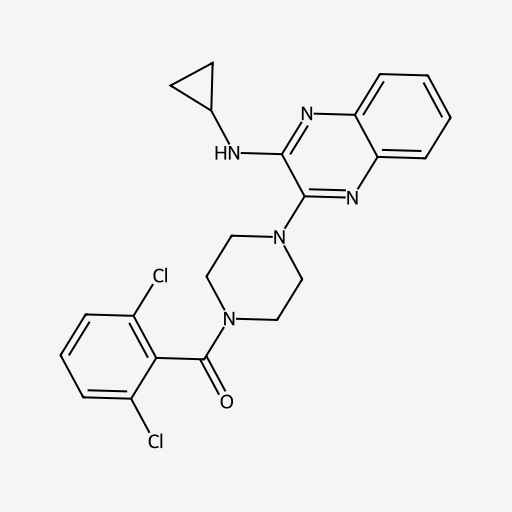 O=C(c1c(Cl)cccc1Cl)N1CCN(c2nc3ccccc3nc2NC2CC2)CC1